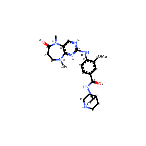 COc1cc(C(=O)NC2CN3CCC2CC3)ccc1Nc1ncc2c(n1)N(C(C)C)CCC(=O)N2C